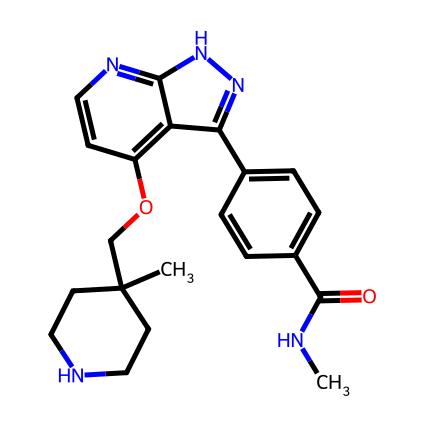 CNC(=O)c1ccc(-c2n[nH]c3nccc(OCC4(C)CCNCC4)c23)cc1